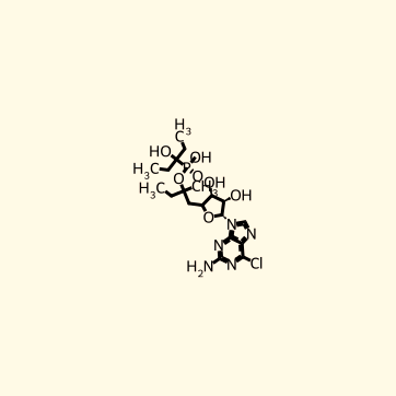 CCC(C)(CC1O[C@@H](n2cnc3c(Cl)nc(N)nc32)[C@H](O)[C@@H]1O)OP(=O)(O)C(O)(CC)CC